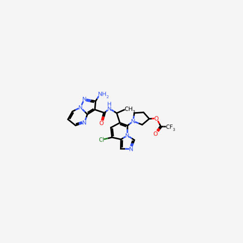 CC(NC(=O)c1c(N)nn2cccnc12)c1cc(Cl)c2cncn2c1N1CCC(OC(=O)C(F)(F)F)C1